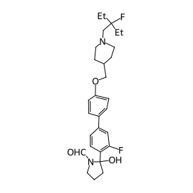 CCC(F)(CC)CN1CCC(COc2ccc(-c3ccc(C4(O)CCCN4C=O)c(F)c3)cc2)CC1